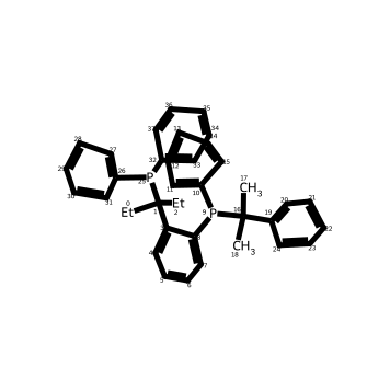 CCC(CC)(c1ccccc1P(c1ccccc1)C(C)(C)c1ccccc1)P(c1ccccc1)c1ccccc1